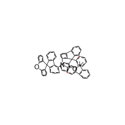 CC1(C)c2ccccc2-c2ccc(N(c3cccc4c3-c3ccccc3C43c4ccccc4Oc4ccccc43)c3cccc4c3C3(c5ccccc5Oc5ccccc53)c3ccccc3-4)cc21